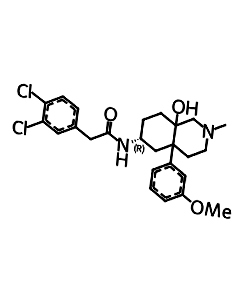 COc1cccc(C23CCN(C)CC2(O)CC[C@@H](NC(=O)Cc2ccc(Cl)c(Cl)c2)C3)c1